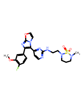 COc1cc(-c2nc3occn3c2-c2ccnc(NCCN3CCCN(C)S3(=O)=O)n2)ccc1F